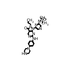 C=CCn1c(=O)c2cnc(Nc3ccc(N4CCNCC4)cc3)nc2n1-c1cncc(N=S(C)(C)=O)n1